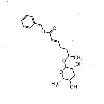 C[C@H](CC/C=C/C(=O)OCc1ccccc1)OC1O[C@@H](C)C(O)C[C@H]1O